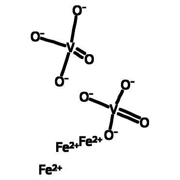 [Fe+2].[Fe+2].[Fe+2].[O]=[V]([O-])([O-])[O-].[O]=[V]([O-])([O-])[O-]